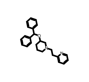 c1ccc(C(OC2CCCN(CCc3ccccn3)C2)c2ccccc2)cc1